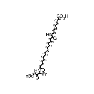 CCCCOC(=O)C(NC(=O)CCCCCCCSCCCCCC(=O)NCCOCCOCC(=O)O)C(C)C